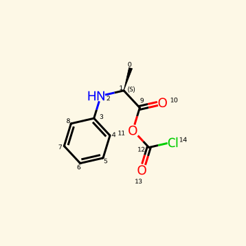 C[C@H](Nc1ccccc1)C(=O)OC(=O)Cl